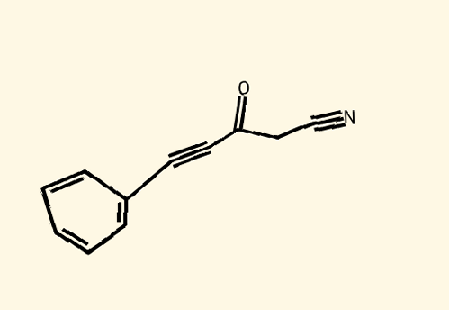 N#CCC(=O)C#Cc1ccccc1